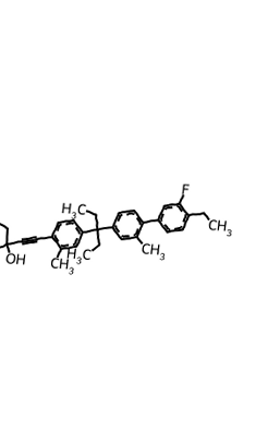 CCc1ccc(-c2ccc(C(CC)(CC)c3ccc(C#CC4(O)CCCCC4)c(C)c3)cc2C)cc1F